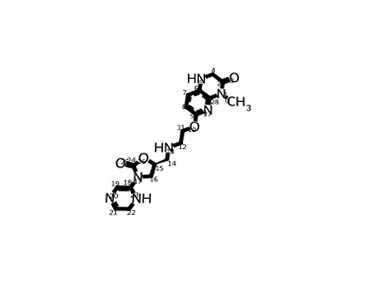 CN1C(=O)CNc2ccc(OCCNC[C@H]3CN(C4=CN=CCN4)C(=O)O3)nc21